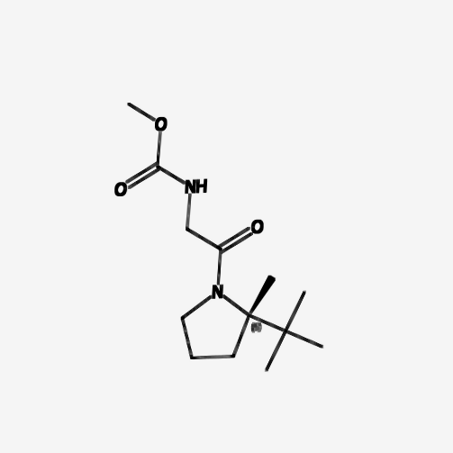 COC(=O)NCC(=O)N1CCC[C@@]1(C)C(C)(C)C